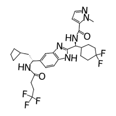 Cn1nccc1C(=O)N[C@H](c1nc2cc([C@@H](CC3CCC3)NC(=O)CCC(F)(F)F)ccc2[nH]1)C1CCC(F)(F)CC1